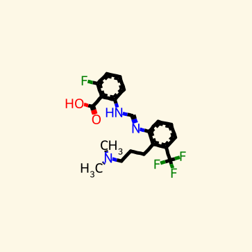 CN(C)CCCc1c(N=CNc2cccc(F)c2C(=O)O)cccc1C(F)(F)F